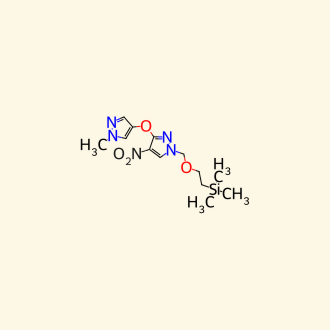 Cn1cc(Oc2nn(COCC[Si](C)(C)C)cc2[N+](=O)[O-])cn1